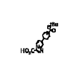 CC(C)(C)OC(=O)N1CCC(c2ccn3c(C(=O)O)cnc3c2)CC1